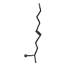 CCCCC=CCCC(C)[O]